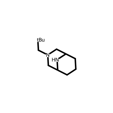 CC(C)(C)CN1CC2CCCC(C1)N2